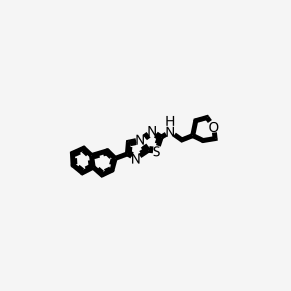 c1ccc2cc(-c3cn4nc(NCC5CCOCC5)sc4n3)ccc2c1